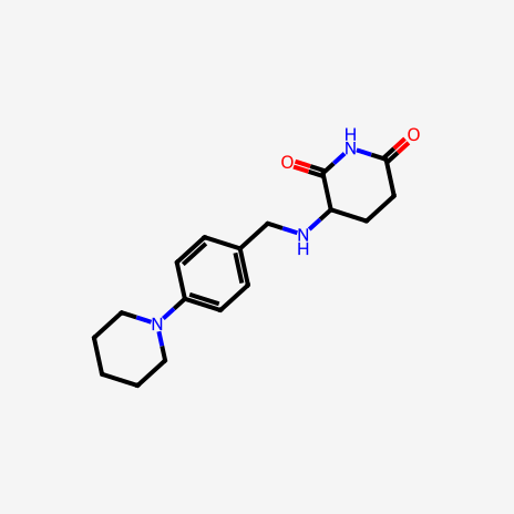 O=C1CCC(NCc2ccc(N3CCCCC3)cc2)C(=O)N1